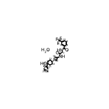 O.O=C(CNC(=O)c1cccc(C(F)(F)F)c1)NC1CN([C@H]2CC[C@@](O)(c3cncs3)CC2)C1